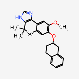 COc1cc2c(cc1OC1CCc3ccccc3C1)[Se]C(C)(C)c1[nH]cnc1-2